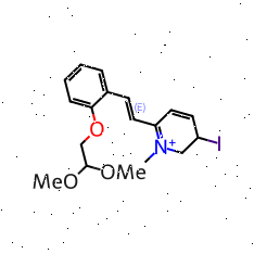 COC(COc1ccccc1/C=C/C1=[N+](C)CC(I)C=C1)OC